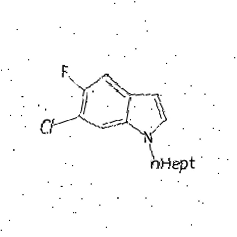 CCCCCCCn1ccc2cc(F)c(Cl)cc21